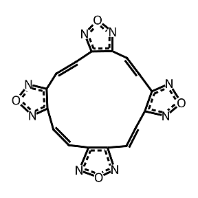 C1=Cc2nonc2C=Cc2nonc2C=Cc2nonc2C=Cc2nonc21